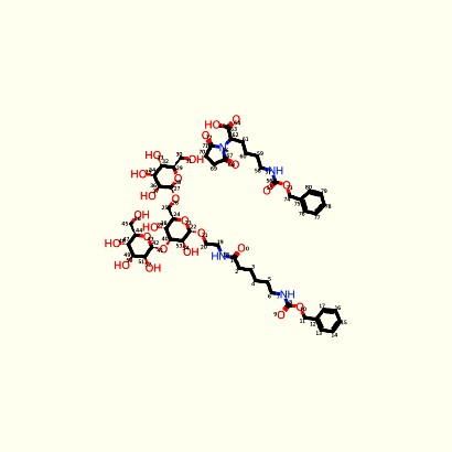 O=C(CCCCCNC(=O)OCc1ccccc1)NCCO[C@H]1O[C@H](CO[C@H]2O[C@H](CO)[C@@H](O)[C@H](O)[C@@H]2O)[C@@H](O)[C@H](O[C@H]2O[C@H](CO)[C@@H](O)[C@H](O)[C@@H]2O)[C@@H]1O.O=C(NCCCCC(C(=O)O)N1C(=O)CCC1=O)OCc1ccccc1